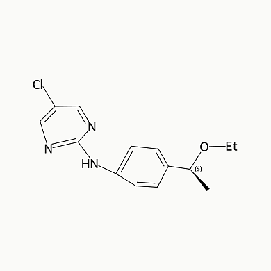 CCO[C@@H](C)c1ccc(Nc2ncc(Cl)cn2)cc1